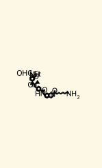 CCOc1cc(C(=O)N(Cc2ccc(C(=O)Nc3ccc4c(c3)CN(C(=O)CCCCCCN)CC4)cc2)C2CC2)ccc1NC=O